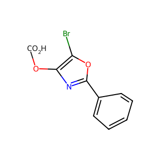 O=C(O)Oc1nc(-c2ccccc2)oc1Br